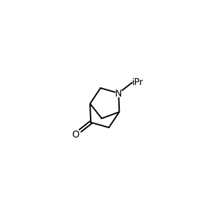 CC(C)N1CC2CC1CC2=O